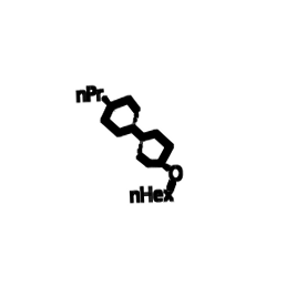 CCCCCCO[C@H]1CC[C@H]([C@H]2CC[C@H](CCC)CC2)CC1